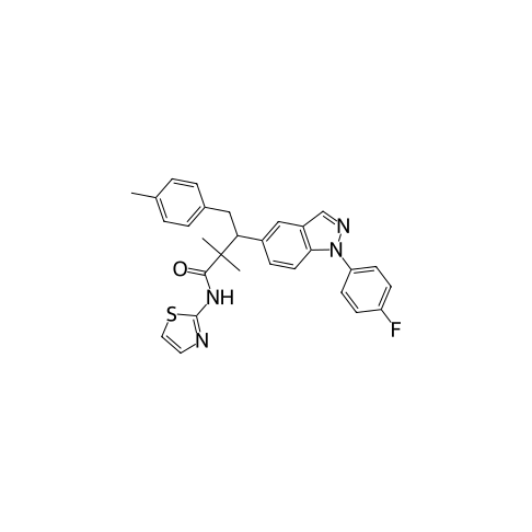 Cc1ccc(CC(c2ccc3c(cnn3-c3ccc(F)cc3)c2)C(C)(C)C(=O)Nc2nccs2)cc1